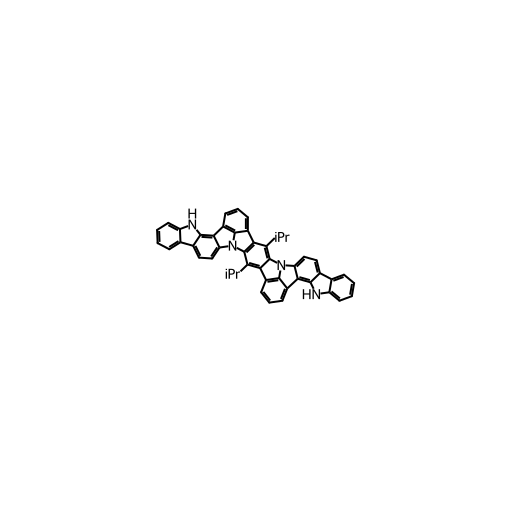 CC(C)c1c2c3cccc4c5c6[nH]c7ccccc7c6ccc5n(c2c(C(C)C)c2c5cccc6c7c8[nH]c9ccccc9c8ccc7n(c12)c56)c34